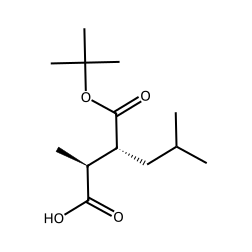 CC(C)C[C@@H](C(=O)OC(C)(C)C)[C@H](C)C(=O)O